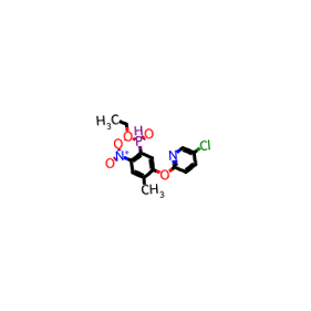 CCO[PH](=O)c1cc(Oc2ccc(Cl)cn2)c(C)cc1[N+](=O)[O-]